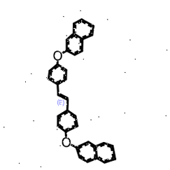 C(=C\c1ccc(Oc2ccc3ccccc3c2)cc1)/c1ccc(Oc2ccc3ccccc3c2)cc1